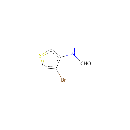 O=CNc1cscc1Br